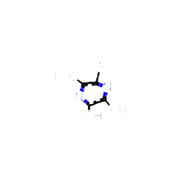 CC(=O)c1nc(C)c(C)nc1C